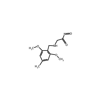 COc1cc(C)cc(OC)c1CNCC(=O)N=O